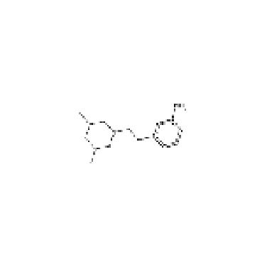 CC1CC(C)CN(CCc2cccc(N)c2)C1